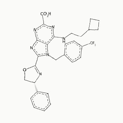 O=C(O)c1nc(NCCC2CCC2)c2c(n1)nc(C1=N[C@H](c3ccccc3)CO1)n2Cc1ccc(C(F)(F)F)cc1